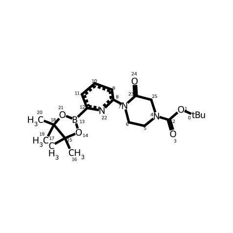 CC(C)(C)OC(=O)N1CCN(c2cccc(B3OC(C)(C)C(C)(C)O3)n2)C(=O)C1